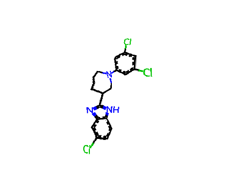 Clc1cc(Cl)cc(N2CCCC(c3nc4cc(Cl)ccc4[nH]3)C2)c1